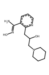 NC(=NO)c1cccnc1CC(O)CN1CCCCC1